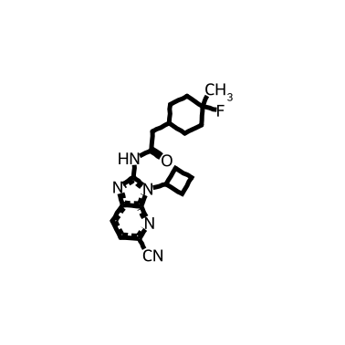 CC1(F)CCC(CC(=O)Nc2nc3ccc(C#N)nc3n2C2CCC2)CC1